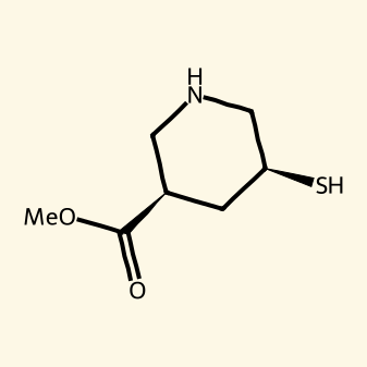 COC(=O)[C@H]1CNC[C@@H](S)C1